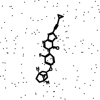 CN1[C@@H]2CC[C@H]1C[C@@H](Oc1ccc(-n3cnc4cc(C#CC5CC5)sc4c3=O)c(F)c1)C2